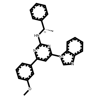 COc1cccc(-c2cc(-n3cnc4ccccc43)nc(N[C@@H](C)c3ccccc3)n2)c1